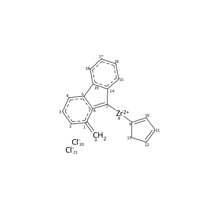 C=c1cccc2c1=[C]([Zr+2][C]1=CC=CC1)c1ccccc1-2.[Cl-].[Cl-]